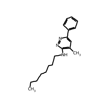 CCCCCCCCNc1nnc(-c2ccccc2)cc1C